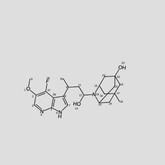 COc1cnc2[nH]cc(C(C)CC(O)N3C4CC5(C)CC3CC(O)(C4)C5)c2c1F